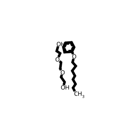 CCCCCCCCOc1ccccc1.OCCOCCOCCO